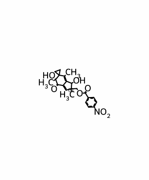 CC1=C2C(=C[C@@](C)(COC(=O)c3ccc([N+](=O)[O-])cc3)C2O)C(=O)C(C)(O)C12CC2